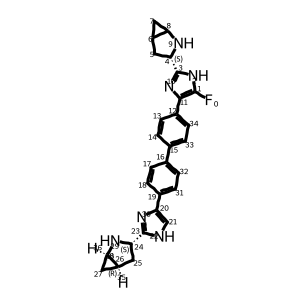 Fc1[nH]c([C@@H]2CC3CC3N2)nc1-c1ccc(-c2ccc(-c3c[nH]c([C@@H]4C[C@H]5C[C@H]5N4)n3)cc2)cc1